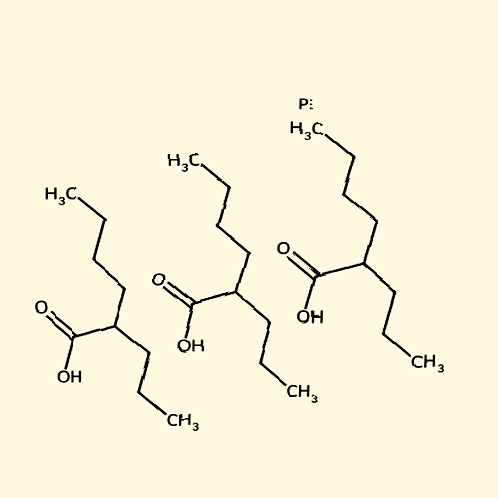 CCCCC(CCC)C(=O)O.CCCCC(CCC)C(=O)O.CCCCC(CCC)C(=O)O.[P]